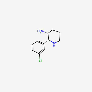 N[C@@H]1CCCN[C@@H]1c1cccc(Cl)c1